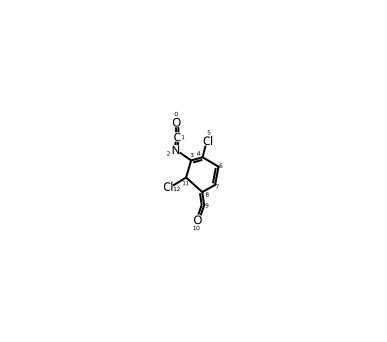 O=C=NC1=C(Cl)C=CC(=C=O)C1Cl